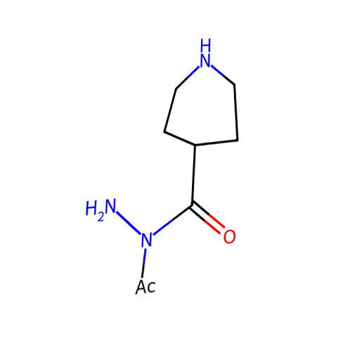 CC(=O)N(N)C(=O)C1CCNCC1